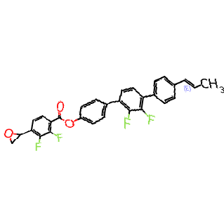 C/C=C/c1ccc(-c2ccc(-c3ccc(OC(=O)c4ccc(C5CO5)c(F)c4F)cc3)c(F)c2F)cc1